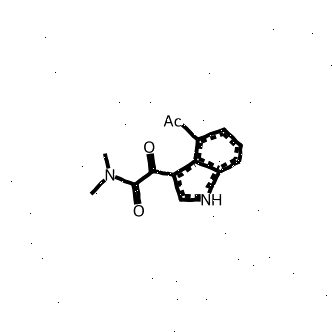 CC(=O)c1cccc2[nH]cc(C(=O)C(=O)N(C)C)c12